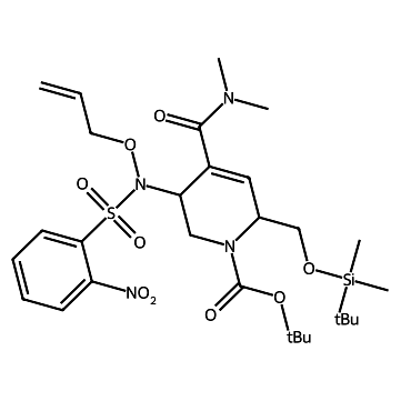 C=CCON(C1CN(C(=O)OC(C)(C)C)C(CO[Si](C)(C)C(C)(C)C)C=C1C(=O)N(C)C)S(=O)(=O)c1ccccc1[N+](=O)[O-]